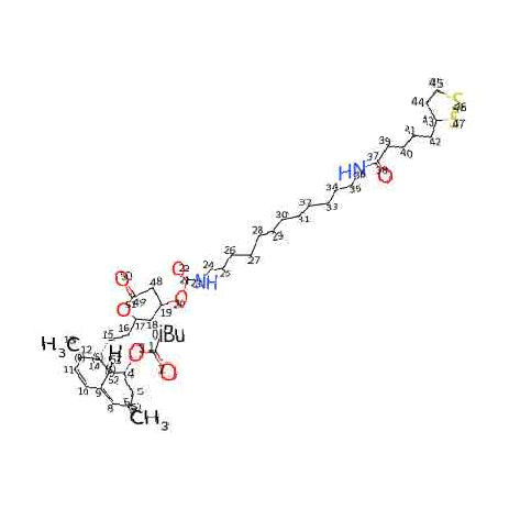 CCC(C)C(=O)OC1C[C@H](C)C=C2C=C[C@H](C)[C@H](CCC3CC(OC(=O)NCCCCCCCCCCCCNC(=O)CCCCC4CCSS4)CC(=O)O3)[C@@H]21